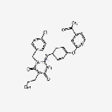 O=C(O)c1ccnc(OC2=CCC(/N=c3\[nH]c(=O)n(CCO)c(=O)n3Cc3ccc(Cl)cc3)C=C2)c1